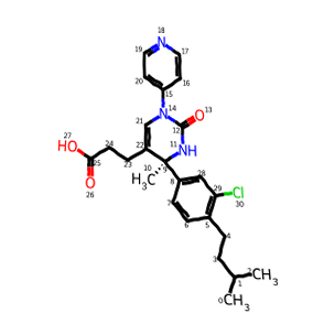 CC(C)CCc1ccc([C@]2(C)NC(=O)N(c3ccncc3)C=C2CCC(=O)O)cc1Cl